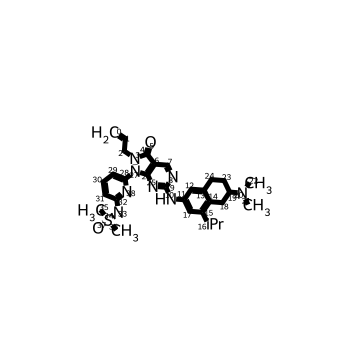 C=CCn1c(=O)c2cnc(Nc3cc4c(c(C(C)C)c3)CC(N(C)C)CC4)nc2n1-c1cccc(N=S(C)(C)=O)n1